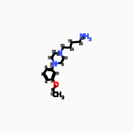 CCOc1cccc(N2CCN(CCCCN)CC2)c1